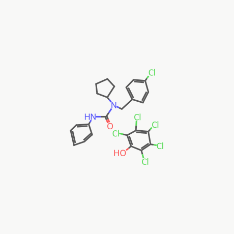 O=C(Nc1ccccc1)N(Cc1ccc(Cl)cc1)C1CCCC1.Oc1c(Cl)c(Cl)c(Cl)c(Cl)c1Cl